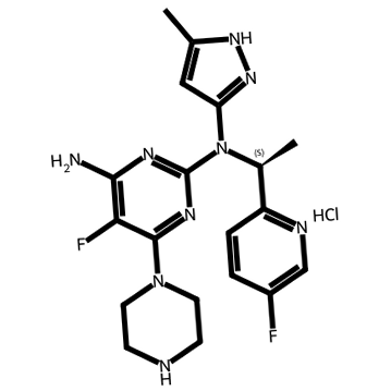 Cc1cc(N(c2nc(N)c(F)c(N3CCNCC3)n2)[C@@H](C)c2ccc(F)cn2)n[nH]1.Cl